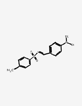 CCN(CC)c1ccc(C=NS(=O)(=O)c2ccc(C)cc2)cc1